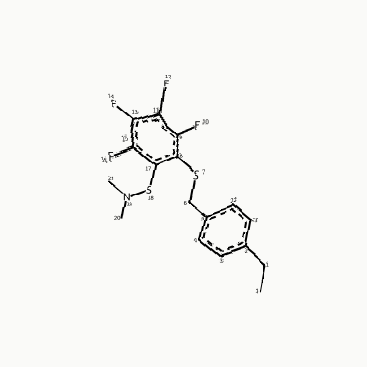 CCc1ccc(CSc2c(F)c(F)c(F)c(F)c2SN(C)C)cc1